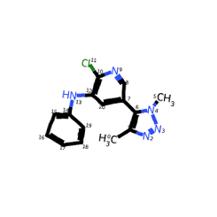 Cc1nnn(C)c1-c1cnc(Cl)c(Nc2ccccc2)c1